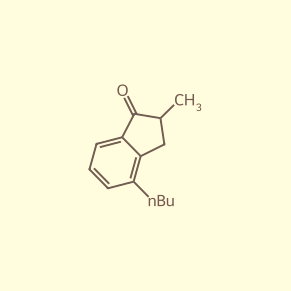 CCCCc1cccc2c1CC(C)C2=O